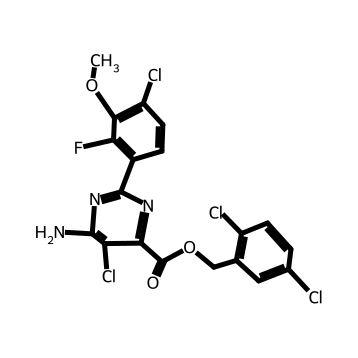 COc1c(Cl)ccc(-c2nc(N)c(Cl)c(C(=O)OCc3cc(Cl)ccc3Cl)n2)c1F